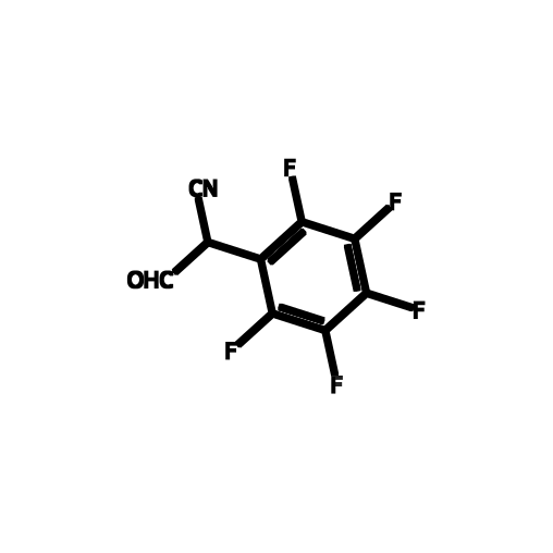 N#CC(C=O)c1c(F)c(F)c(F)c(F)c1F